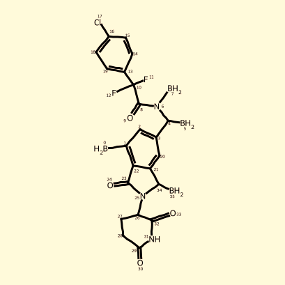 Bc1cc(C(B)N(B)C(=O)C(F)(F)c2ccc(Cl)cc2)cc2c1C(=O)N(C1CCC(=O)NC1=O)C2B